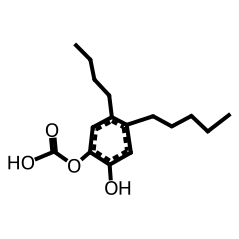 CCCCCc1cc(O)c(OC(=O)O)cc1CCCC